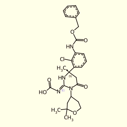 CC1(C)CC(N2C(=O)C[C@@](C)(c3cccc(NC(=O)OCc4ccccc4)c3Cl)N/C2=N\C(=O)O)CCO1